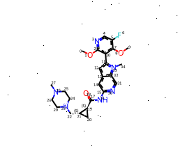 COc1ncc(F)c(OC)c1-c1cc2cc(NC(=O)[C@H]3C[C@@H]3CN3CCN(C)CC3)ncc2n1C